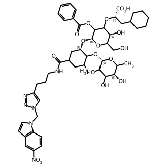 CC1CC(C(=O)NCCCc2cn(Cn3ccc4cc([N+](=O)[O-])ccc43)nn2)C[C@@H](O[C@@H]2OC(CO)[C@H](O)C(O[C@@H](CC3CCCCC3)C(=O)O)C2OC(=O)c2ccccc2)C1O[C@@H]1OC(C)[C@@H](O)C(O)C1O